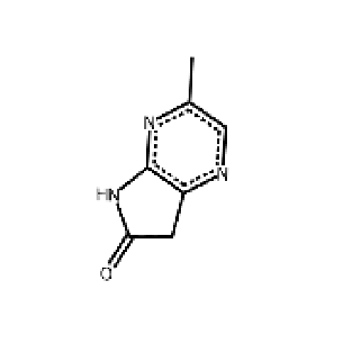 Cc1cnc2c(n1)NC(=O)C2